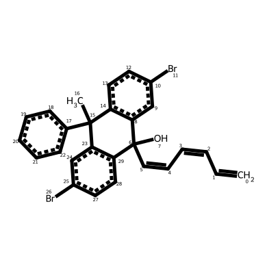 C=C/C=C\C=C/C1(O)c2cc(Br)ccc2C(C)(c2ccccc2)c2cc(Br)ccc21